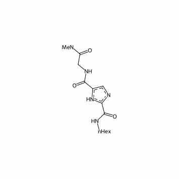 CCCCCCNC(=O)c1ncc(C(=O)NCC(=O)NC)[nH]1